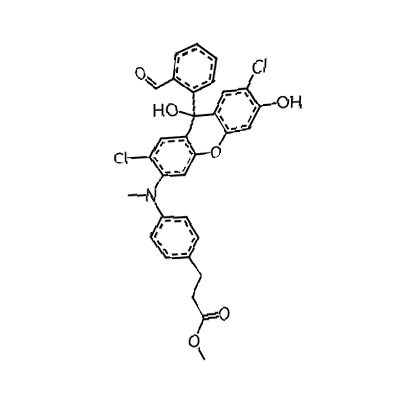 COC(=O)CCc1ccc(N(C)c2cc3c(cc2Cl)C(O)(c2ccccc2C=O)c2cc(Cl)c(O)cc2O3)cc1